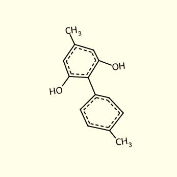 Cc1ccc(-c2c(O)cc(C)cc2O)cc1